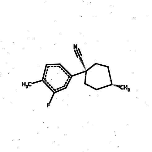 Cc1ccc([C@]2(C#N)CC[C@@H](C)CC2)cc1F